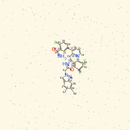 Cc1cc2cn(CC(=O)NC(Cc3ncccc3-c3ccc(F)c(C(N)=O)c3)c3cc(F)cc(F)c3)nc2cc1C